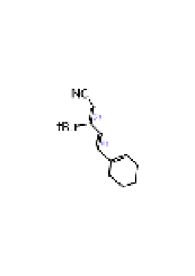 CC(C)(C)C(=C\C#N)/C=C/C1=CCCCC1